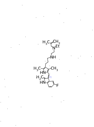 C=C(C)CN(CC)CCNCCCc1c(C)[nH]c(/C=c2\c(=C)[nH]c3ccc(F)cc23)c1C